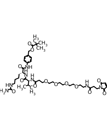 CC(C)[C@@H](NC(=O)CCOCCOCCOCCOCCNC(=O)CCN1C(=O)C=CC1=O)C(=O)N[C@H](CCCCNC(N)=O)C(=O)Nc1ccc(COC(=O)C(C)(C)C)cc1